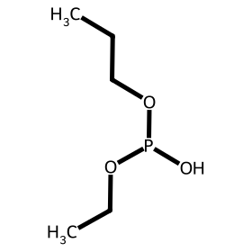 CCCOP(O)OCC